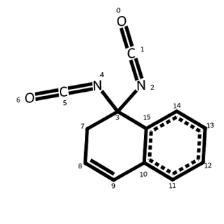 O=C=NC1(N=C=O)CC=Cc2ccccc21